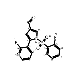 O=Cc1cc(-c2cccnc2F)n(S(=O)(=O)c2ccccc2F)c1